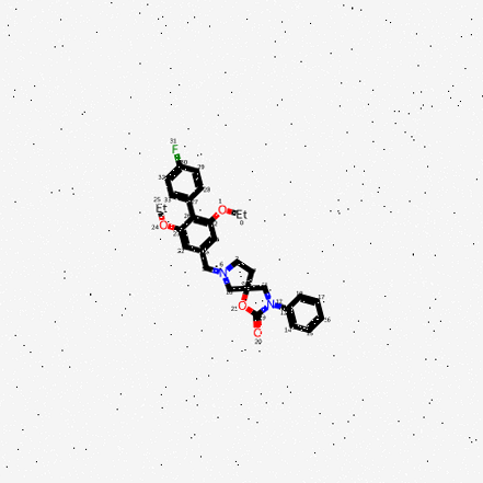 CCOc1cc(CN2CCC3(C2)CN(c2ccccc2)C(=O)O3)cc(OCC)c1-c1ccc(F)cc1